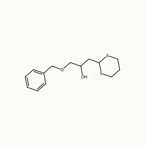 OC(COCc1ccccc1)CC1SCCCS1